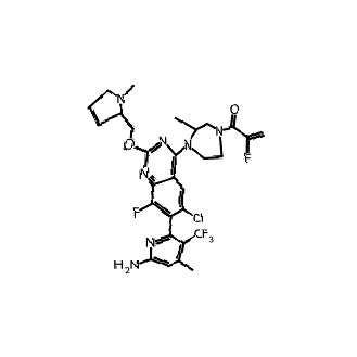 C=C(F)C(=O)N1CCN(c2nc(OCC3CCCN3C)nc3c(F)c(-c4nc(N)cc(C)c4C(F)(F)F)c(Cl)cc23)C(C)C1